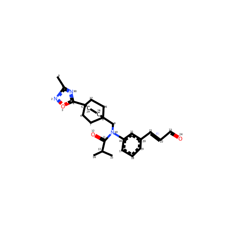 Cc1noc(C23CCC(CN(C(=O)C(C)C)c4cccc(/C=C/[C]=O)c4)(CC2)CC3)n1